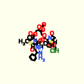 CC1(C)S[C@@H]2C(NC(=O)C(N)c3ccccc3)C(=O)N2[C@H]1C(=O)OCc1oc(=O)oc1COC(=O)[C@@H]1N2C(=O)C[C@H]2S(=O)(=O)C1(C)C.Cl